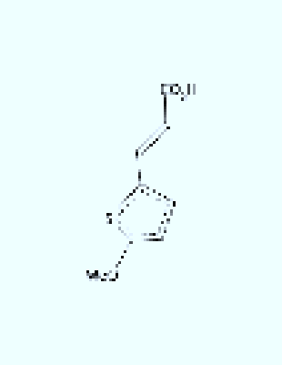 COc1ccc(/C=C/C(=O)O)s1